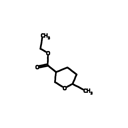 CCOC(=O)C1CCC(C)OC1